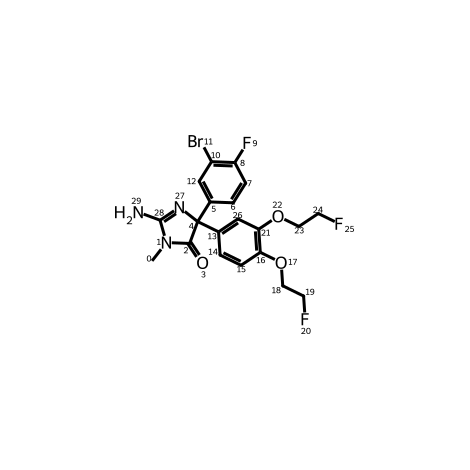 CN1C(=O)C(c2ccc(F)c(Br)c2)(c2ccc(OCCF)c(OCCF)c2)N=C1N